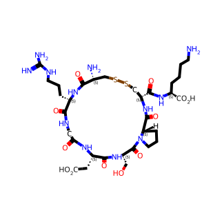 N=C(N)NCCC[C@@H]1NC(=O)[C@H](N)CSSC[C@H](C(=O)N[C@@H](CCCCN)C(=O)O)NC(=O)[C@@H]2CCCN2C(=O)[C@H](CO)NC(=O)[C@H](CC(=O)O)NC(=O)CNC1=O